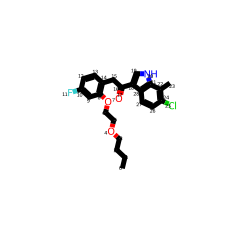 CCCCOCCOc1cc(F)ccc1CC(=O)c1c[nH]c2c(C)c(Cl)ccc12